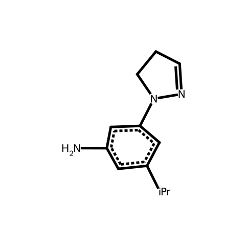 CC(C)c1cc(N)cc(N2CCC=N2)c1